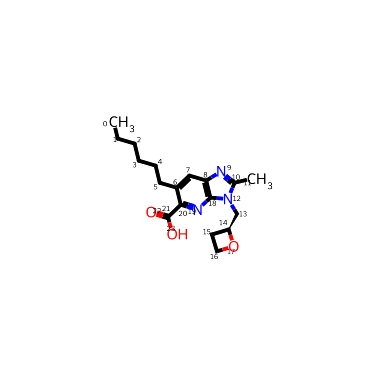 CCCCCCc1cc2nc(C)n(C[C@@H]3CCO3)c2nc1C(=O)O